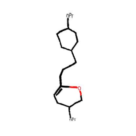 CCCC1CCC(CCC2=CCC(CCC)CO2)CC1